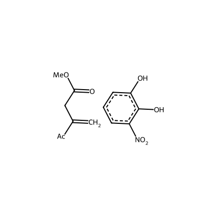 C=C(CC(=O)OC)C(C)=O.O=[N+]([O-])c1cccc(O)c1O